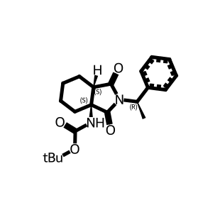 C[C@H](c1ccccc1)N1C(=O)[C@H]2CCCC[C@@]2(NC(=O)OC(C)(C)C)C1=O